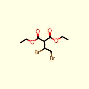 CCOC(=O)C(C(=O)OCC)C(Br)CBr